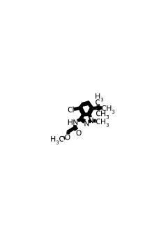 COCC(=O)Nc1nn(C)c2c(C(C)(C)C)ccc(Cl)c12